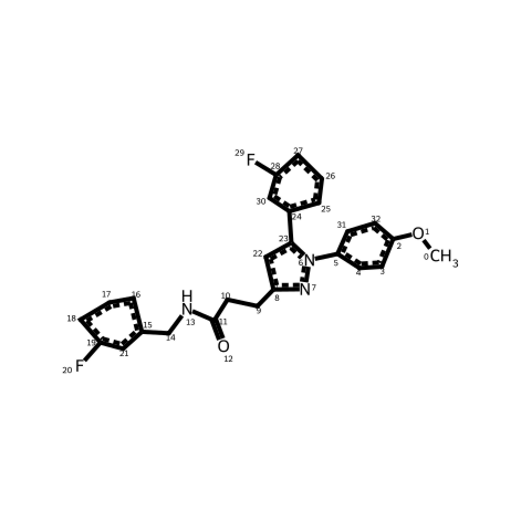 COc1ccc(-n2nc(CCC(=O)NCc3cccc(F)c3)cc2-c2cccc(F)c2)cc1